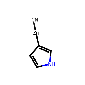 N#[C][Zn][c]1cc[nH]c1